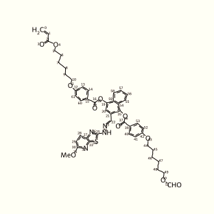 C=CC(=O)OCCCCCCOc1ccc(C(=O)Oc2cc(/C=N/Nc3nc4ccc(OC)nc4s3)c(OC(=O)c3ccc(OCCCCCCOC=O)cc3)c3ccccc23)cc1